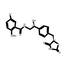 COc1ccc(Cl)cc1C(=O)NC[C@@H](O)c1ccc(C[C@H]2SC(=O)NC2=O)cc1